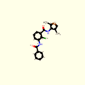 Cc1csc(C)c1NC(=O)c1cccc(NC(=O)c2ccccc2)c1F